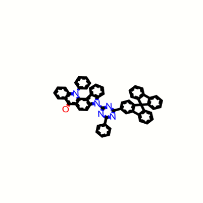 O=c1c2ccccc2n(-c2ccccc2)c2c1ccc1c2c2ccccc2n1-c1nc(-c2ccccc2)nc(-c2ccc3c(c2)-c2ccccc2C32c3ccccc3-c3ccccc32)n1